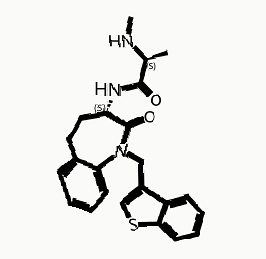 CN[C@@H](C)C(=O)N[C@H]1CCc2ccccc2N(Cc2csc3ccccc23)C1=O